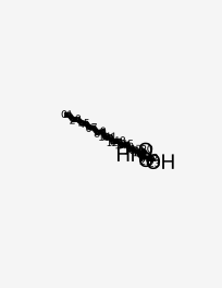 CCCCCCCCCCCCCCCCCCNC(=O)OCO